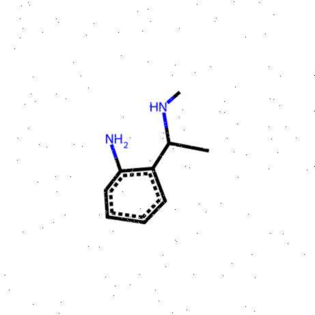 CNC(C)c1ccccc1N